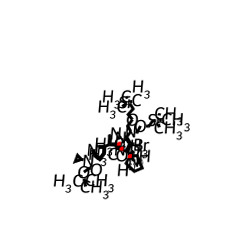 CC(C)(C)OC(=O)N(c1ccc(-c2cnn3c(N(COCC[Si](C)(C)C)COCC[Si](C)(C)C)c(Br)c([C@H]4C[C@H]5CC[C@@H](C4)N5C(=O)OC(C)(C)C)nc23)cn1)C1CC1